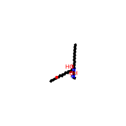 C=CN(C)CCCN(CC(O)CCCCCCCCCCCCCC)CC(O)CCCCCCCCCCCCCC